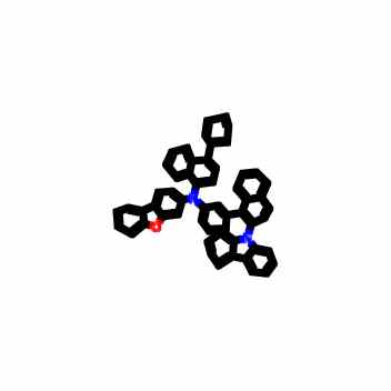 c1ccc(-c2ccc(N(c3cccc(-c4c(-n5c6ccccc6c6ccccc65)ccc5ccccc45)c3)c3ccc4c(c3)oc3ccccc34)c3ccccc23)cc1